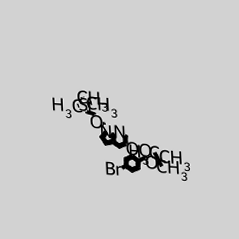 CC(C)(C)OC(=O)c1ccc(Br)cc1Oc1cnc2c(ccn2COCC[Si](C)(C)C)c1